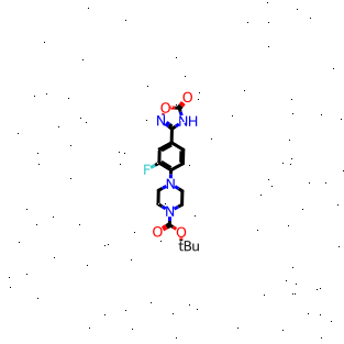 CC(C)(C)OC(=O)N1CCN(c2ccc(-c3noc(=O)[nH]3)cc2F)CC1